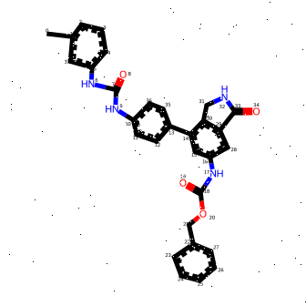 Cc1cccc(NC(=O)Nc2ccc(-c3cc(NC(=O)OCc4ccccc4)cc4c3CNC4=O)cc2)c1